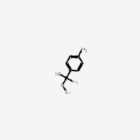 [CH2]c1ccc(C(C)(C)OO)cc1